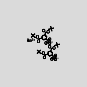 CC(C)(C)COC(=O)c1cc(C(=O)OCC(C)(C)C)cc(S(=O)(=O)[O-])c1.CC(C)(C)COC(=O)c1cc(C(=O)OCC(C)(C)C)cc(S(=O)(=O)[O-])c1.[Ba+2]